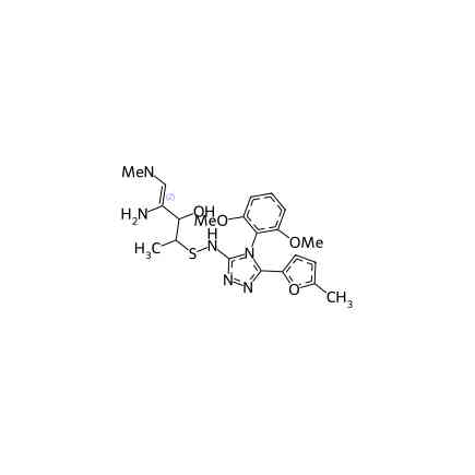 CN/C=C(\N)C(O)C(C)SNc1nnc(-c2ccc(C)o2)n1-c1c(OC)cccc1OC